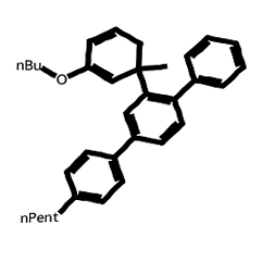 CCCCCc1ccc(-c2ccc(-c3ccccc3)c(C3(C)C=C(OCCCC)C=CC3)c2)cc1